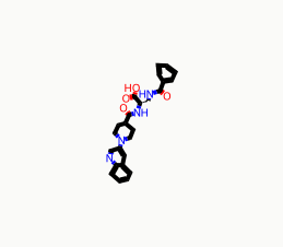 O=C(NC[C@H](NC(=O)C1CCN(c2cnc3ccccc3c2)CC1)C(=O)O)c1ccccc1